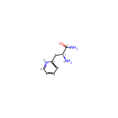 NC(=O)[C@@H](N)Cc1ccccn1